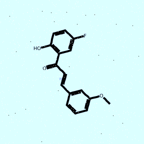 COc1cccc(/C=C/C(=O)c2cc(F)ccc2O)c1